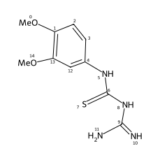 COc1ccc(NC(=S)NC(=N)N)cc1OC